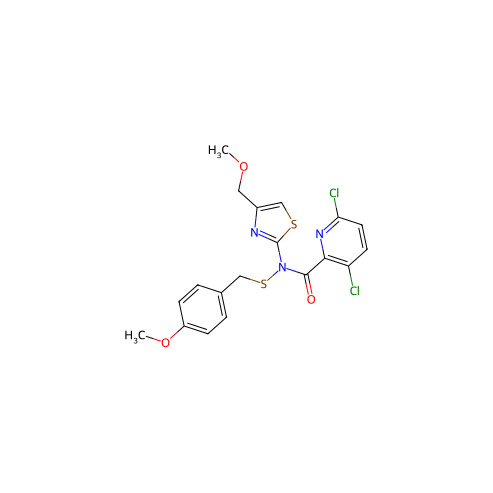 COCc1csc(N(SCc2ccc(OC)cc2)C(=O)c2nc(Cl)ccc2Cl)n1